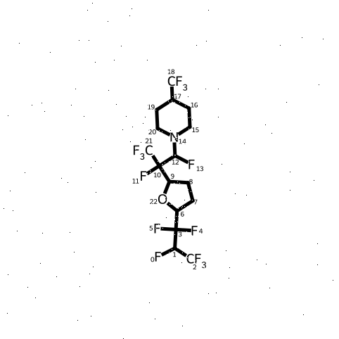 FC(C(F)(F)F)C(F)(F)C1CCC(C(F)(C(F)N2CCC(C(F)(F)F)CC2)C(F)(F)F)O1